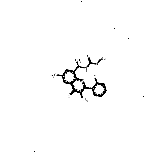 Cc1cc([C@@H](C)NC(=O)OC(C)(C)C)c2oc(-c3ccccc3F)c(C)c(=O)c2c1